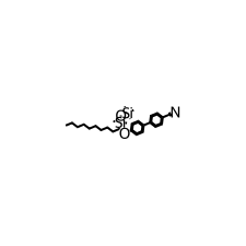 CCCCCCCCCC(Oc1ccc(-c2ccc(C#N)cc2)cc1)[Si](C)(C)O[Si](C)(C)C